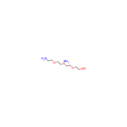 N.NCCOCCOCCOCCO